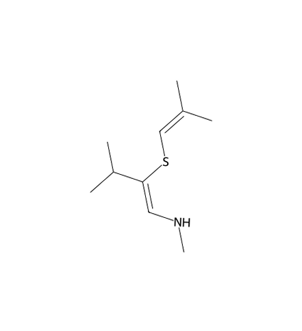 CN/C=C(\SC=C(C)C)C(C)C